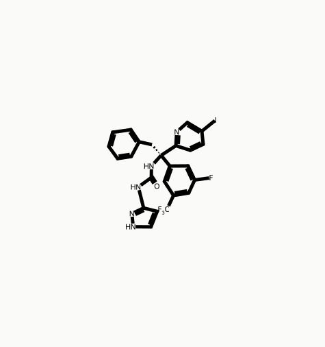 O=C(Nc1cc[nH]n1)N[C@](Cc1ccccc1)(c1cc(F)cc(C(F)(F)F)c1)c1ccc(I)cn1